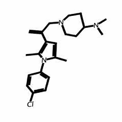 C=C(CN1CCC(N(C)C)CC1)c1cc(C)n(-c2ccc(Cl)cc2)c1C